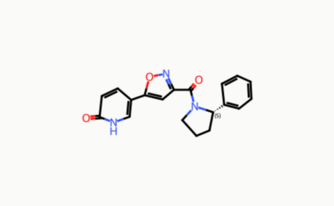 O=C(c1cc(-c2ccc(=O)[nH]c2)on1)N1CCC[C@H]1c1ccccc1